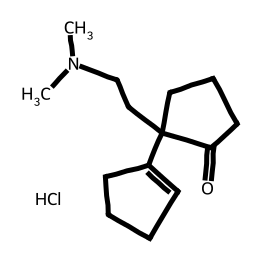 CN(C)CCC1(C2=CCCC2)CCCC1=O.Cl